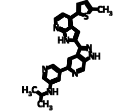 Cc1ccc(-c2ccnc3[nH]c(-c4n[nH]c5cnc(-c6cncc(NC(C)C)c6)cc45)cc23)s1